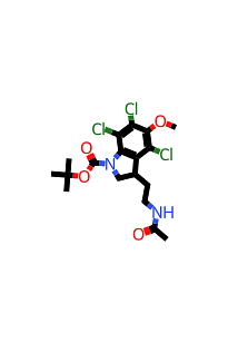 COc1c(Cl)c(Cl)c2c(c1Cl)C(CCNC(C)=O)CN2C(=O)OC(C)(C)C